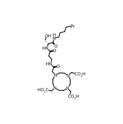 CC(C)CCCCNC(=O)[C@@H](CO)NC(=O)CCNC(=O)CN1CCN(CC(=O)O)CCN(CC(=O)O)CCN(CC(=O)O)CC1